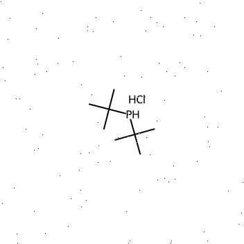 CC(C)(C)PC(C)(C)C.Cl